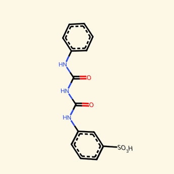 O=C(NC(=O)Nc1cccc(S(=O)(=O)O)c1)Nc1ccccc1